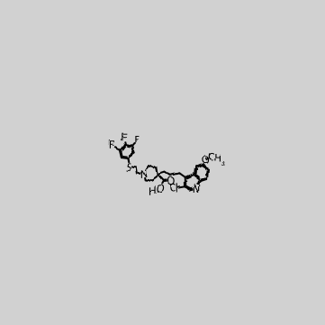 COc1ccc2ncc(Cl)c(CCCC3(C(=O)O)CCN(CCSc4cc(F)c(F)c(F)c4)CC3)c2c1